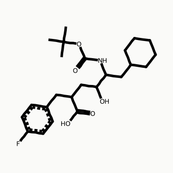 CC(C)(C)OC(=O)NC(CC1CCCCC1)C(O)CC(Cc1ccc(F)cc1)C(=O)O